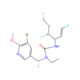 CCN(C(=O)NC(C=CF)C(F)CCF)[C@H](C)c1cnc(OC)c(Br)c1